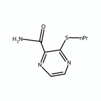 CCCSc1nccnc1C(N)=O